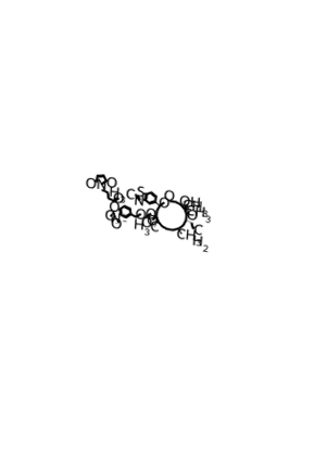 C=CC[C@@H]1C[C@@H](C)CCC[C@@]2(C)O[C@]2(OC(=O)OCc2ccc(OC(=O)CCCN3C(=O)C=CC3=O)c([N+](=O)[O-])c2)C[C@@H](c2ccc3sc(C)nc3c2)OC(=O)C[C@H](O)C(C)(C)C1=O